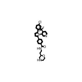 O=C(NCCC1CNCCO1)c1ccc(-c2ccc(-c3ccc(Cl)cc3)n2-c2cnccc2C(F)(F)F)cc1